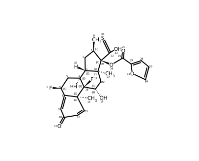 C[C@@H]1C[C@H]2[C@@H]3C[C@H](F)C4=CC(=O)C=C[C@]4(C)[C@@]3(F)[C@@H](O)C[C@]2(C)[C@@]1(OC(=O)c1ccco1)C(O)=S